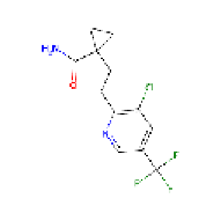 NC(=O)C1(CCc2ncc(C(F)(F)F)cc2Cl)CC1